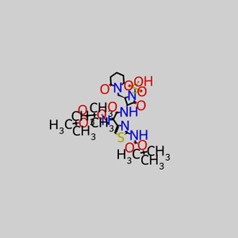 CC(C)(C)OC(=O)Nc1nc(/C(=N/OC(C)(C)C(=O)OC(C)(C)C)C(=O)N[C@@H]2C(=O)N(S(=O)(=O)O)[C@@H]2CN2CCCCC2=O)cs1